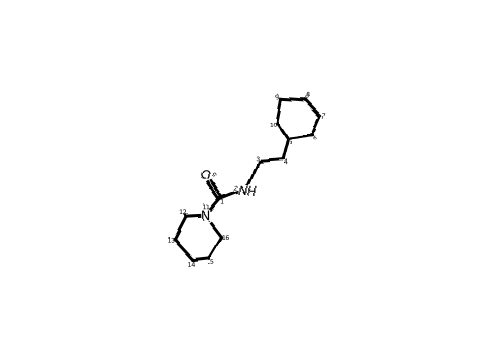 O=C(NCCC1CCCCC1)N1CCCCC1